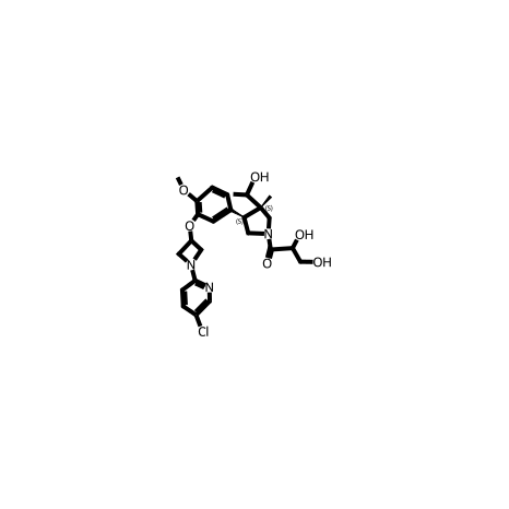 COc1ccc([C@@H]2CN(C(=O)C(O)CO)C[C@@]2(C)C(C)O)cc1OC1CN(c2ccc(Cl)cn2)C1